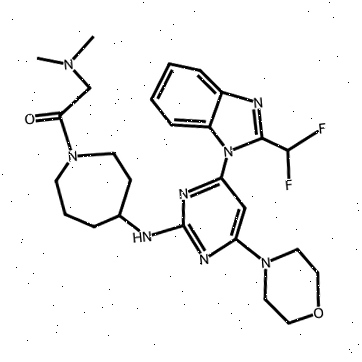 CN(C)CC(=O)N1CCCC(Nc2nc(N3CCOCC3)cc(-n3c(C(F)F)nc4ccccc43)n2)CC1